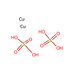 O=S(=O)(O)O.O=S(=O)(O)O.[Cu].[Cu]